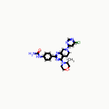 C[C@H]1COCCN1c1nc(-c2ccc(NC(N)=O)cc2)nc2c1CCN(c1cc(Cl)ncn1)C2